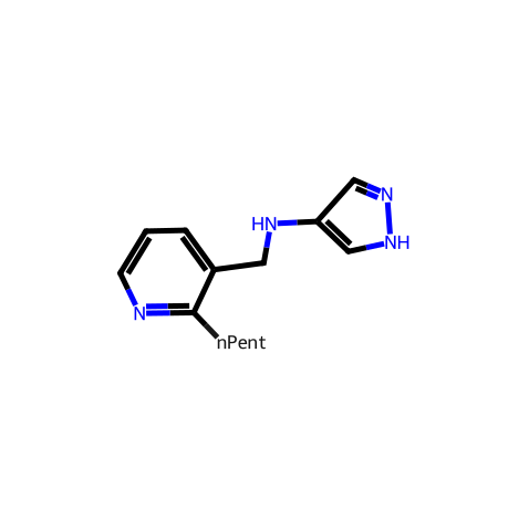 CCCCCc1ncccc1CNc1cn[nH]c1